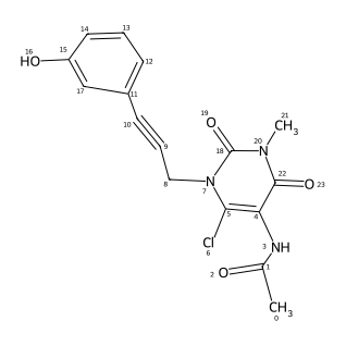 CC(=O)Nc1c(Cl)n(CC#Cc2cccc(O)c2)c(=O)n(C)c1=O